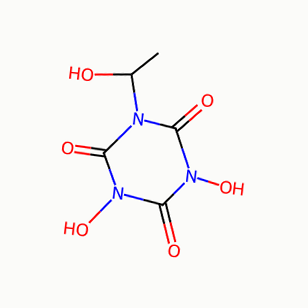 CC(O)n1c(=O)n(O)c(=O)n(O)c1=O